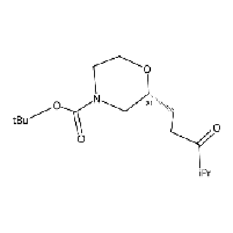 CC(C)C(=O)CC[C@@H]1CN(C(=O)OC(C)(C)C)CCO1